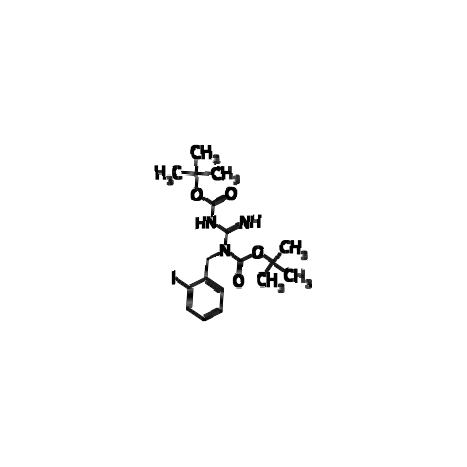 CC(C)(C)OC(=O)NC(=N)N(Cc1ccccc1I)C(=O)OC(C)(C)C